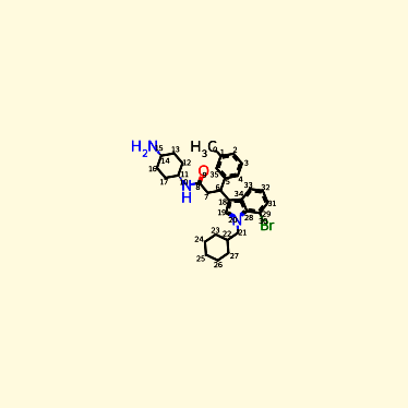 Cc1cccc(C(CC(=O)N[C@H]2CC[C@H](N)CC2)c2cn(CC3CCCCC3)c3c(Br)cccc23)c1